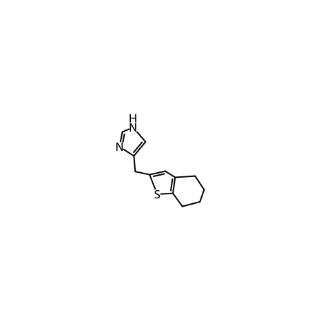 c1nc(Cc2cc3c(s2)CCCC3)c[nH]1